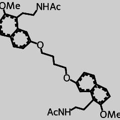 COc1ccc2ccc(OCCCCOc3ccc4ccc(OC)c(CCNC(C)=O)c4c3)cc2c1CCNC(C)=O